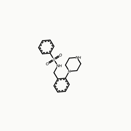 O=S(=O)(NCc1ccccc1N1CCNCC1)c1ccccc1